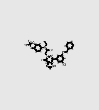 CCN(C(=O)Cn1nc(-c2cc(Cl)cc(OCc3ccccc3)c2)c2[nH]cnc2c1=O)c1ccc2c(c1)OC(F)(F)O2